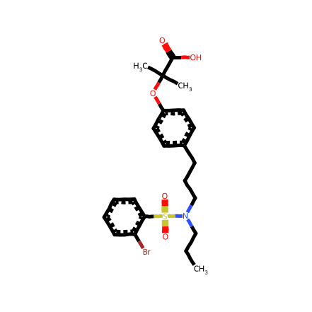 CCCN(CCCc1ccc(OC(C)(C)C(=O)O)cc1)S(=O)(=O)c1ccccc1Br